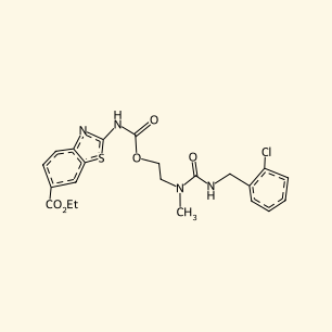 CCOC(=O)c1ccc2nc(NC(=O)OCCN(C)C(=O)NCc3ccccc3Cl)sc2c1